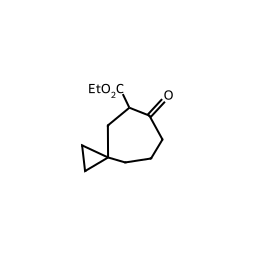 CCOC(=O)C1CC2(CCCC1=O)CC2